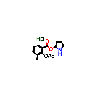 CC(=O)Oc1c(C)cccc1C(=O)OC1CCCN1.Cl